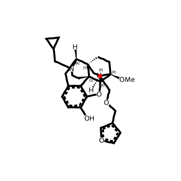 CO[C@]12CC[C@@]3(C[C@@H]1COCc1ccoc1)[C@H]1Cc4ccc(O)c5c4[C@@]3(CCN1CC1CC1)[C@H]2O5